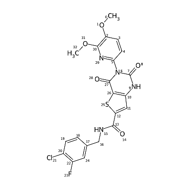 COc1ccc(-n2c(=O)[nH]c3cc(C(=O)NCc4ccc(Cl)c(F)c4)sc3c2=O)nc1OC